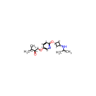 CC(C)N[C@H]1C[C@H](Oc2ccc(OCC(=O)C(C)C)cn2)C1